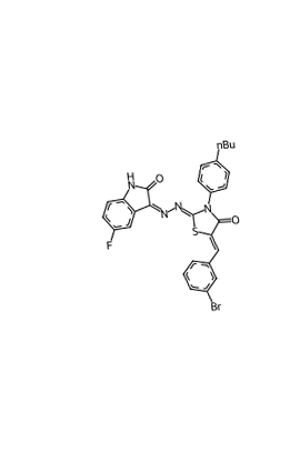 CCCCc1ccc(N2C(=O)C(=Cc3cccc(Br)c3)SC2=NN=C2C(=O)Nc3ccc(F)cc32)cc1